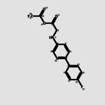 O=C(CNc1ccc(-c2ccc(F)cc2)nc1)OC(=O)C(F)(F)F